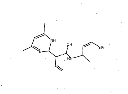 C=CC(C(O)NC(C)/C=C\CCC)C1N=C(C)C=C(C)N1